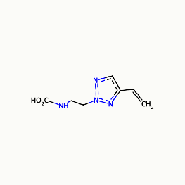 C=Cc1cnn(CCNC(=O)O)n1